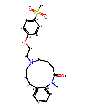 CN1C(=O)CCCN(CCOc2ccc(S(C)(=O)=O)cc2)CCCc2ccccc21